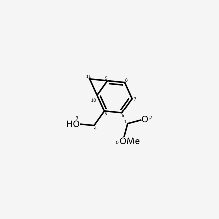 COC[O].OCc1cccc2c1C2